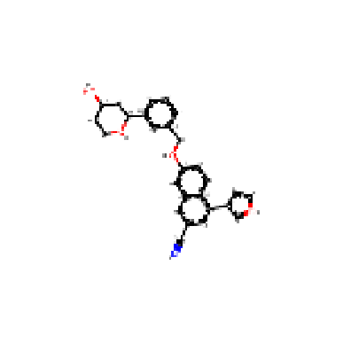 N#Cc1cc(-c2ccoc2)c2ccc(OCc3cccc(C4CC(O)CCO4)c3)cc2c1